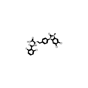 Cn1c(=O)n(-c2ccc(CC[C@H](NC(=O)c3c(F)cccc3Cl)C(=O)O)cc2)c2cc(Cl)c(Cl)cc21